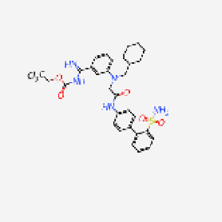 N=C(NC(=O)OCC(Cl)(Cl)Cl)c1cccc(N(CC(=O)Nc2ccc(-c3ccccc3S(N)(=O)=O)cc2)CC2CCCCC2)c1